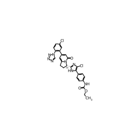 CCOC(=O)Nc1ccc(-c2[nH]c([C@@H]3CCc4cc(-c5cc(Cl)ccc5-n5cnnn5)cc(=O)n43)nc2Cl)cc1